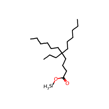 CCCCCCC(CCC)(CCCCCC)CCCC(=O)O[SiH3]